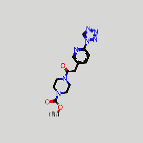 CC(C)(C)OC(=O)N1CCN(C(=O)Cc2ccc(-n3cnnn3)nc2)CC1